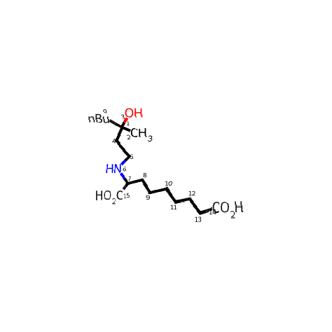 CCCCC(C)(O)CCNC(CCCCCCC(=O)O)C(=O)O